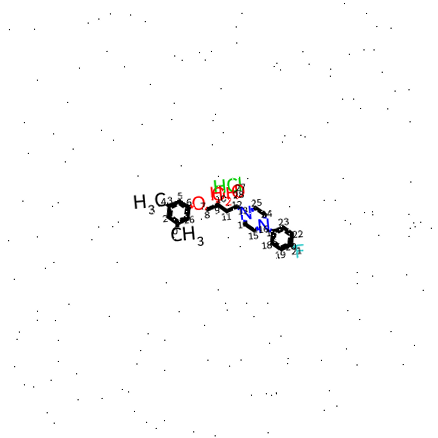 Cc1cc(C)cc(OCC(O)CCN2CCN(c3ccc(F)cc3)CC2)c1.Cl.O